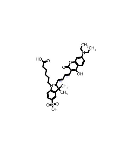 CCN(CC)c1ccc2c(O)c(/C=C/C=C/C3=[N+](CCCCCC(=O)O)c4ccc(S(=O)(=O)O)cc4C3(C)C)c(=O)oc2c1